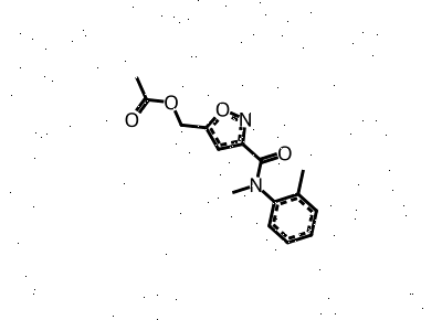 CC(=O)OCc1cc(C(=O)N(C)c2ccccc2C)no1